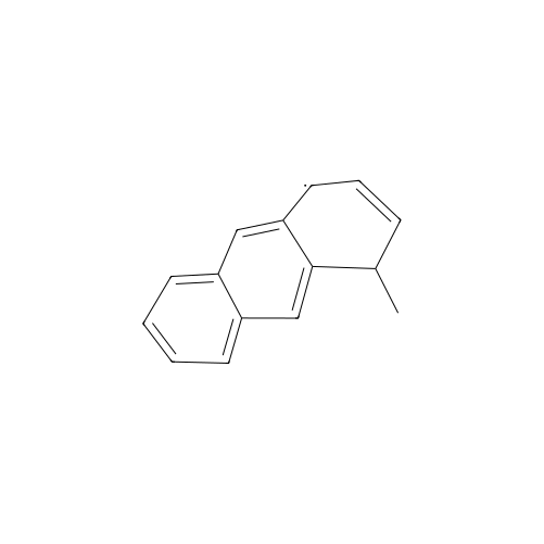 CC1C=C[CH]c2cc3ccccc3cc21